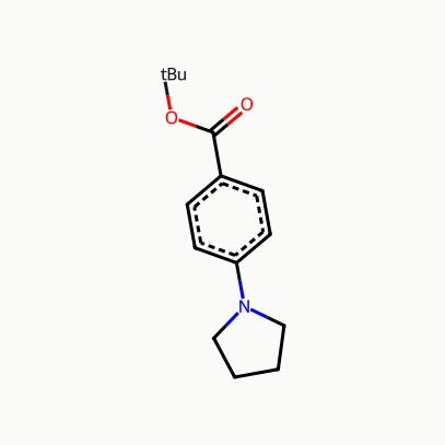 CC(C)(C)OC(=O)c1ccc(N2CCCC2)cc1